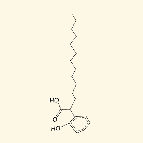 CCCCCCCCCCCCC(C(=O)O)c1ccccc1O